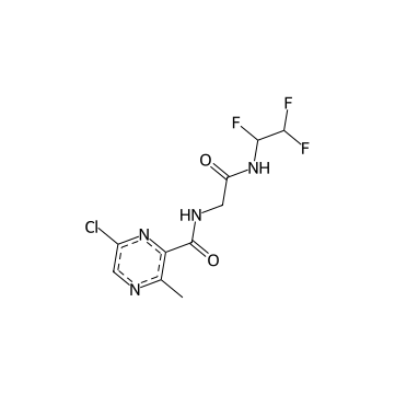 Cc1ncc(Cl)nc1C(=O)NCC(=O)NC(F)C(F)F